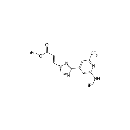 CC(C)Nc1cc(-c2ncn(C=CC(=O)OC(C)C)n2)cc(C(F)(F)F)n1